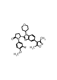 COc1ccc(N2C(=O)CC[C@H]2c2nc3cc(-c4c(C)noc4C)ccc3n2C2CCOCC2)cc1F